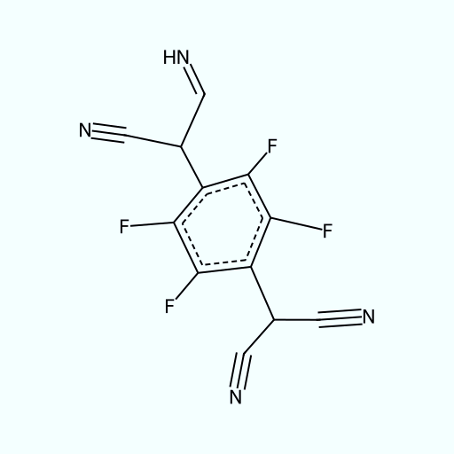 N#CC(C#N)c1c(F)c(F)c(C(C#N)C=N)c(F)c1F